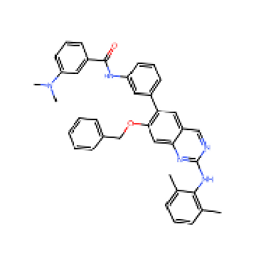 Cc1cccc(C)c1Nc1ncc2cc(-c3cccc(NC(=O)c4cccc(N(C)C)c4)c3)c(OCc3ccccc3)cc2n1